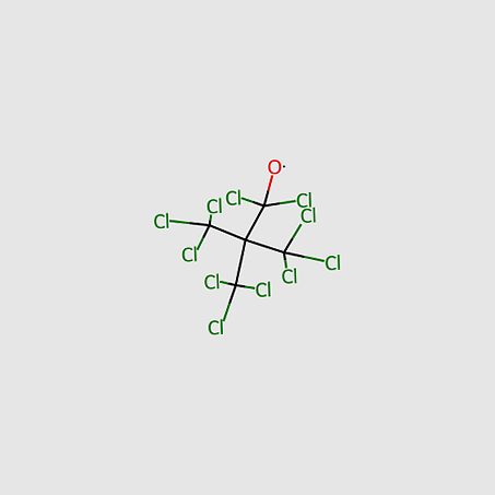 [O]C(Cl)(Cl)C(C(Cl)(Cl)Cl)(C(Cl)(Cl)Cl)C(Cl)(Cl)Cl